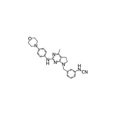 Cc1nc(Nc2ccc(N3CCOCC3)cc2)nc2c1CCN2Cc1cccc(NC#N)c1